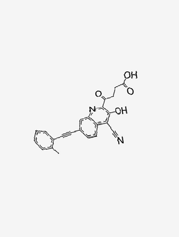 Cc1ccccc1C#Cc1ccc2c(C#N)c(O)c(C(=O)CCC(=O)O)nc2c1